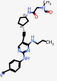 CCCNc1nc(Nc2ccc(C#N)cc2)ncc1C#C[C@@H]1CC[C@H](NC(=O)CN(C)C=O)C1